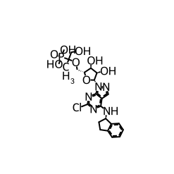 CC(CO)(OC[C@H]1O[C@@H](n2ncc3c(N[C@@H]4CCc5ccccc54)nc(Cl)nc32)[C@H](O)[C@@H]1O)P(=O)(O)O